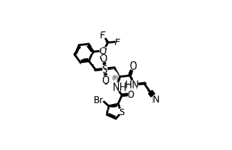 N#CCNC(=O)[C@H](CS(=O)(=O)Cc1ccccc1OC(F)F)NC(=O)c1sccc1Br